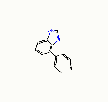 C/C=C\C(=C/C)c1cccc2[nH]cnc12